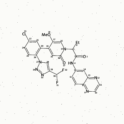 CCC(C(=O)Nc1ccc2nccnc2c1)n1cc(OC)c(-c2cc(Cl)ccc2-n2cc(C(F)F)nn2)cc1=O